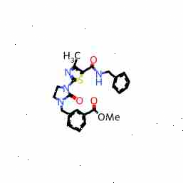 COC(=O)c1cccc(CN2CCN(c3nc(C)c(C(=O)NCc4ccccc4)s3)C2=O)c1